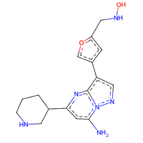 Nc1cc(C2CCCNC2)nc2c(-c3coc(CNO)c3)cnn12